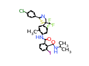 Cc1cc(C2(C(F)(F)F)CN=C(c3ccc(Cl)cc3)S2)ccc1NC(=O)c1cccc(I)c1C(=O)NC(C)C